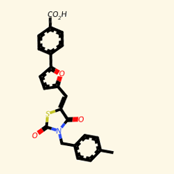 Cc1ccc(CN2C(=O)S/C(=C\c3ccc(-c4ccc(C(=O)O)cc4)o3)C2=O)cc1